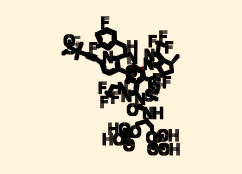 C[C@H]1CC(F)(F)c2c1c(C(F)(F)F)nn2CC(=O)NC(Cc1cc(F)cc(F)c1)c1nc(C#CC(C)(C)[S+](C)[O-])ccc1-c1ccc(Cl)c2c(N(C(=O)NC(COP(=O)(O)O)COP(=O)(O)O)[S+](C)[O-])nn(CC(F)(F)F)c12